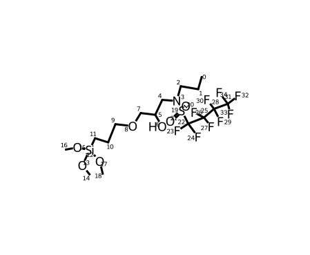 CCCN(CC(O)COCCC[Si](OC)(OC)OC)S(=O)(=O)C(F)(F)C(F)(F)C(F)(F)C(F)(F)F